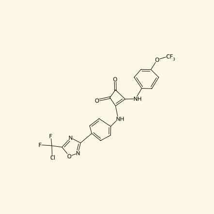 O=c1c(Nc2ccc(OC(F)(F)F)cc2)c(Nc2ccc(-c3noc(C(F)(F)Cl)n3)cc2)c1=O